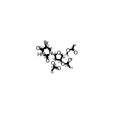 CC(=O)OC[C@H]1O[C@@H](n2cc(Br)c(=O)[nH]c2=O)[C@@H](OC(C)=O)C1OC(C)=O